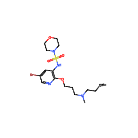 COCCN(C)CCCOc1ncc(Br)cc1NS(=O)(=O)N1CCOCC1